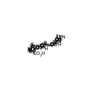 CCc1ccc(NS(=O)(=O)c2ccc(CCNC(=O)c3ccc(-c4ccc(C5=N[C@@H](CC(=O)O)c6nnc(C)n6-c6sc(C)c(C)c65)cc4)c(F)c3F)cc2)c2[nH]cc(C#N)c12